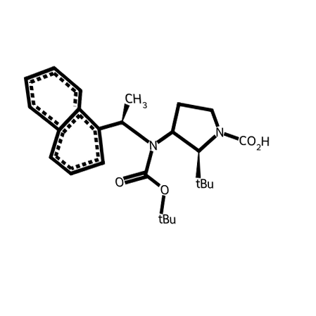 C[C@H](c1cccc2ccccc12)N(C(=O)OC(C)(C)C)C1CCN(C(=O)O)[C@H]1C(C)(C)C